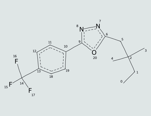 CCC(C)(C)Cc1nnc(-c2ccc(C(F)(F)F)cc2)o1